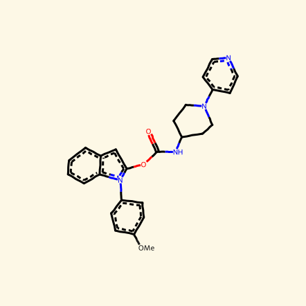 COc1ccc(-n2c(OC(=O)NC3CCN(c4ccncc4)CC3)cc3ccccc32)cc1